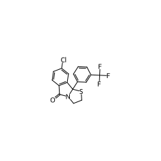 O=C1c2ccc(Cl)cc2C2(c3cccc(C(F)(F)F)c3)SCCN12